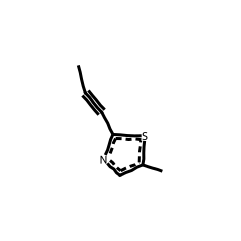 CC#Cc1ncc(C)s1